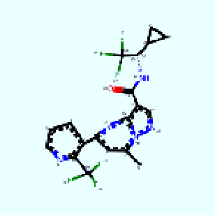 Cc1cc(-c2cccnc2C(F)(F)F)nc2c(C(=O)N[C@@H](C3CC3)C(F)(F)F)cnn12